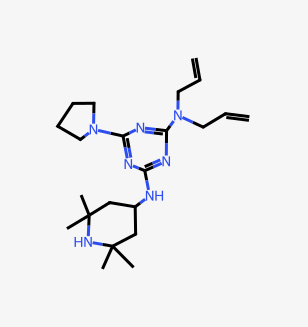 C=CCN(CC=C)c1nc(NC2CC(C)(C)NC(C)(C)C2)nc(N2CCCC2)n1